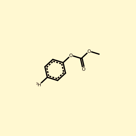 [3H]c1ccc(OC(=O)OC)cc1